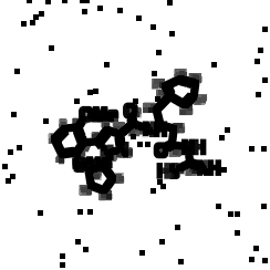 COc1cccc(OC)c1-c1cc(C(=O)NC(CC(=O)NC(=N)S)Cc2ccccc2)nn1C1CCCC1